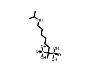 CC(C)NCCCCCCC(C)(P(=O)(O)O)P(=O)(O)O